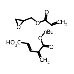 C=C(C=CC(=O)O)C(=O)OCCCC.C=CC(=O)OCC1CO1